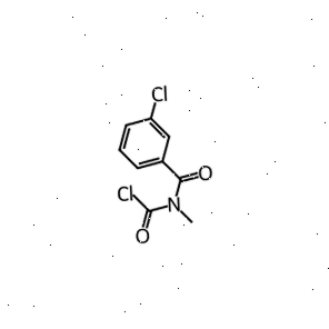 CN(C(=O)Cl)C(=O)c1cccc(Cl)c1